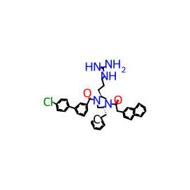 N=C(N)NCCC[C@H]1CN(C(=O)Cc2ccc3ccccc3c2)[C@H](Cc2ccccc2)CN1C(=O)c1cccc(-c2ccc(Cl)cc2)c1